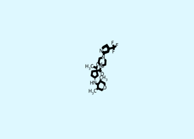 CC1COCC(C)C1N[C@@H]1CC[C@@](C(=O)N2CCN(c3cc(C(F)(F)F)ccn3)CC2)(C(C)C)C1